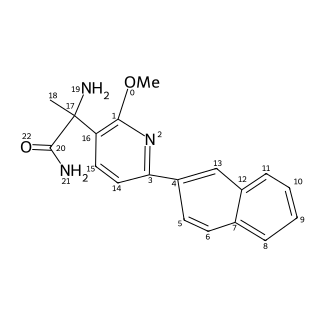 COc1nc(-c2ccc3ccccc3c2)ccc1C(C)(N)C(N)=O